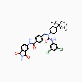 CC(C)(C)C1CCC(N(Cc2ccc(C(=O)Nc3ccc4c(c3)C(=O)NC4=O)cc2)C(=O)Nc2cc(Cl)cc(Cl)c2)CC1